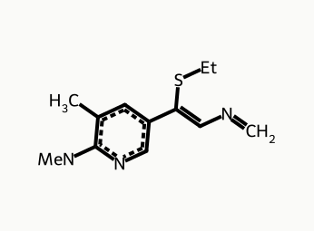 C=N/C=C(\SCC)c1cnc(NC)c(C)c1